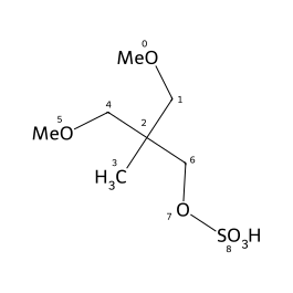 COCC(C)(COC)COS(=O)(=O)O